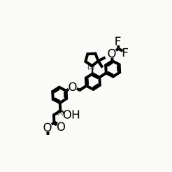 COC(=O)C[C@@H](O)c1cccc(OCc2ccc(-c3cccc(OC(F)F)c3)c([C@H]3CCCC3(C)C)c2)c1